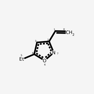 C=Cc1cc(CC)on1